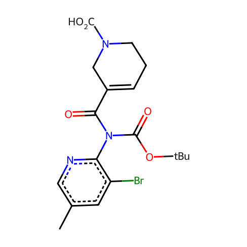 Cc1cnc(N(C(=O)OC(C)(C)C)C(=O)C2=CCCN(C(=O)O)C2)c(Br)c1